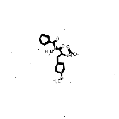 COc1ccc(CC(NC(=O)O)C(=O)N(N)C(=O)c2ccccc2)cc1